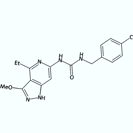 CCc1nc(NC(=O)NCc2ccc(Cl)cc2)cc2[nH]nc(OC)c12